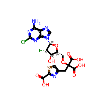 Nc1nc(Cl)nc2c1ncn2[C@@H]1O[C@H](COC(Cc2csc(C(=O)O)n2)(C(=O)O)C(=O)O)[C@@H](O)[C@@H]1F